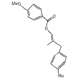 COc1ccc(C(=O)O/C=C(\C)Cc2ccc(C(C)(C)C)cc2)cc1